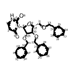 O=c1cc[nH]c(=O)n1[C@@H]1O[C@H](COCc2ccccc2)[C@@H](OCc2ccccc2)[C@@H]1OCc1ccccc1